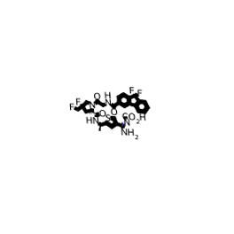 C[C@@H](NC(=O)[C@@H]1C[C@](F)(CF)CN1C(=O)CNC(=O)c1ccc2c(c1)-c1ccccc1C2(F)F)c1cc(/C(N)=N\C(=O)O)cs1